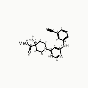 C#Cc1cccc(Nc2cc(N3CCC(N)(C(=O)OC)CC3)ncn2)c1